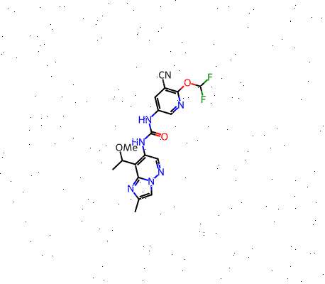 COC(C)c1c(NC(=O)Nc2cnc(OC(F)F)c(C#N)c2)cnn2cc(C)nc12